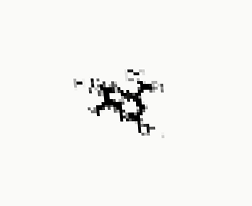 CCC(CC)c1cc(C)nc2c(I)c(C)nn12